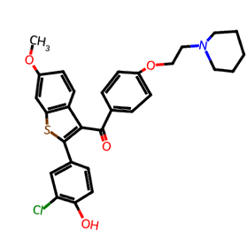 COc1ccc2c(C(=O)c3ccc(OCCN4CCCCC4)cc3)c(-c3ccc(O)c(Cl)c3)sc2c1